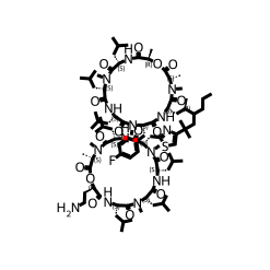 CCCC(CC(C)(C)c1csc(C[C@H]2C(=O)N[C@@H](CC(C)C)C(=O)N(C)[C@@H](C)C(=O)O[C@H](CCN)C(=O)N[C@@H](CC(C)C)C(=O)N(C)[C@@H](CC(C)C)C(=O)N[C@@H](CC(C)C)C(=O)N2C)n1)[C@H](C)C[C@@H]1NC(=O)[C@H](Cc2ccc(F)cc2)N(C)C(=O)[C@H](CC(C)C)NC(=O)[C@H](CC(C)C)N(C)C(=O)[C@H](CC(C)C)NC(=O)[C@@H](C)OC(=O)[C@H](C)N(C)C1=O